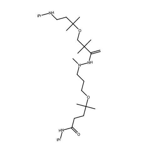 C=C(NN(C)CCCOC(C)(C)CCC(=O)NC(C)C)C(C)(C)COC(C)(C)CCNC(C)C